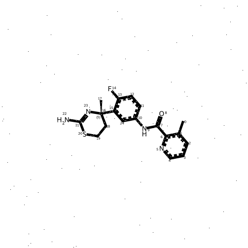 Cc1cccnc1C(=O)Nc1ccc(F)c([C@]2(C)CCSC(N)=N2)c1